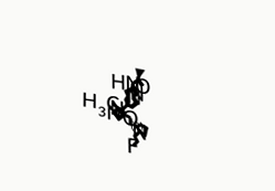 Cn1ncc(OC[C@H]2CCCN2CCF)c1-c1ccn2nc(NC(=O)C3CC3)cc2c1